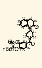 CCCCC(Oc1ccc(C(=O)N2CCC(N3C(=O)CCc4ccccc43)CC2)cc1)=S(=O)=O